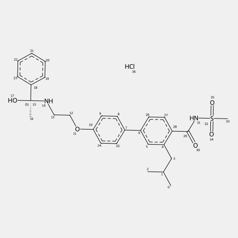 CC(C)Cc1cc(-c2ccc(OCCN[C@@](C)(O)c3ccccc3)cc2)ccc1C(=O)NS(C)(=O)=O.Cl